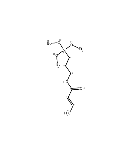 CC=CC(=O)OCCC[Si](OCC)(OCC)OCC